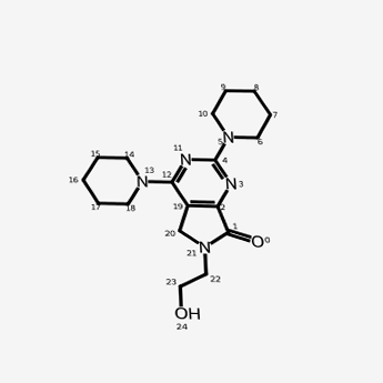 O=C1c2nc(N3CCCCC3)nc(N3CCCCC3)c2CN1CCO